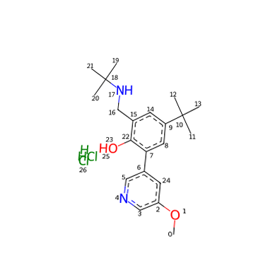 COc1cncc(-c2cc(C(C)(C)C)cc(CNC(C)(C)C)c2O)c1.Cl.Cl